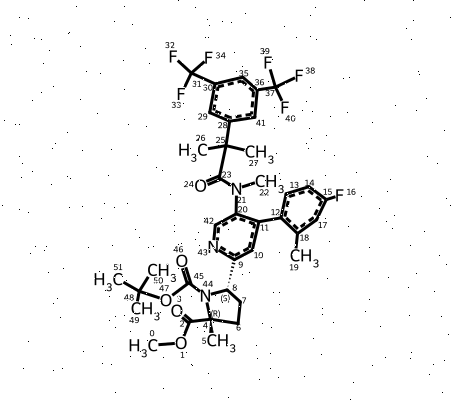 COC(=O)[C@@]1(C)CC[C@@H](c2cc(-c3ccc(F)cc3C)c(N(C)C(=O)C(C)(C)c3cc(C(F)(F)F)cc(C(F)(F)F)c3)cn2)N1C(=O)OC(C)(C)C